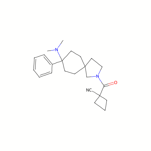 CN(C)C1(c2ccccc2)CCC2(CCN(C(=O)C3(C#N)CCC3)C2)CC1